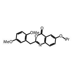 COc1ccc(OC)c(Cc2nc3ccc(OC(C)C)cc3c(=O)o2)c1